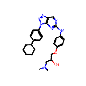 CN(C)CC(O)COc1ccc(Nc2ncc3nnn(-c4ccc(C5CCCCC5)cc4)c3n2)cc1